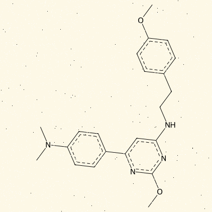 COc1ccc(CCNc2cc(-c3ccc(N(C)C)cc3)nc(OC)n2)cc1